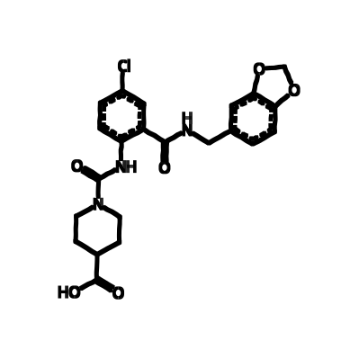 O=C(NCc1ccc2c(c1)OCO2)c1cc(Cl)ccc1NC(=O)N1CCC(C(=O)O)CC1